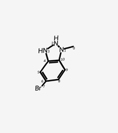 CN1NNc2cc(Br)ccc21